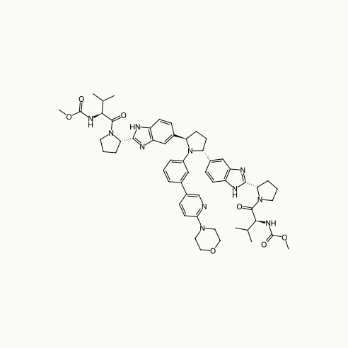 COC(=O)N[C@H](C(=O)N1CCC[C@H]1c1nc2cc([C@H]3CC[C@H](c4ccc5[nH]c([C@@H]6CCCN6C(=O)[C@@H](NC(=O)OC)C(C)C)nc5c4)N3c3cccc(-c4ccc(N5CCOCC5)nc4)c3)ccc2[nH]1)C(C)C